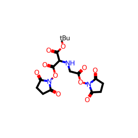 CC(C)(C)OC(=O)C(NCC(=O)ON1C(=O)CCC1=O)C(=O)ON1C(=O)CCC1=O